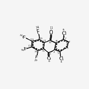 O=C1c2c(Cl)ccc(Cl)c2C(=O)c2c(F)c(F)c(F)c(F)c21